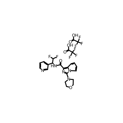 O=C(NC(c1cccnc1)C(F)F)c1nc(N2CCOCC2)n2ccccc12.O=C(O)C(F)(F)F.O=C(O)C(F)(F)F